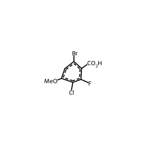 COc1cc(Br)c(C(=O)O)c(F)c1Cl